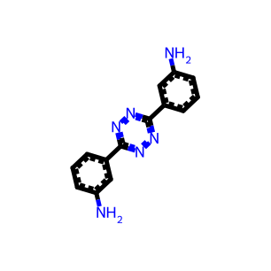 Nc1cccc(-c2nnc(-c3cccc(N)c3)nn2)c1